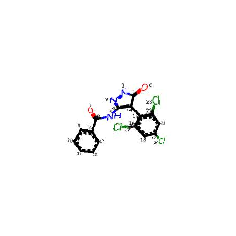 O=C1N=NC(NC(=O)c2ccccc2)=C1c1c(Cl)cc(Cl)cc1Cl